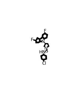 Fc1ccc2c(c1)c1cc(F)ccc1n2[C@H]1CCN(SNc2ccc(Cl)cc2)C1